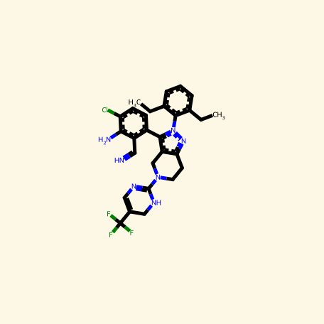 CCc1cccc(CC)c1-n1nc2c(c1-c1ccc(Cl)c(N)c1C=N)CN(C1=NC=C(C(F)(F)F)CN1)CC2